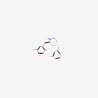 Oc1cc(O)cc(CN2CCc3noc(-c4cc(Cl)c(O)cc4O)c3C2)c1